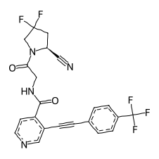 N#C[C@@H]1CC(F)(F)CN1C(=O)CNC(=O)c1ccncc1C#Cc1ccc(C(F)(F)F)cc1